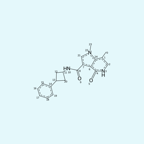 Cc1c[nH]c(=O)c2c(C(=O)NC3CC(c4ccccc4)C3)cn(C)c12